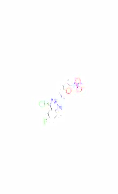 O=[N+]([O-])c1ccc(/C=C/c2nc(Cl)c3cc(F)ccc3n2)o1